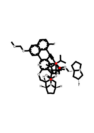 COCOc1cc(-c2nc3c4c(nc(OC[C@]56CCCN5C[C@H](F)C6)nc4c2F)N2C[C@@H]4CC[C@H]([C@@H]2CO3)N4C(=O)OC(C)(C)C)c2c(C#C[Si](C(C)C)(C(C)C)C(C)C)c(F)ccc2c1